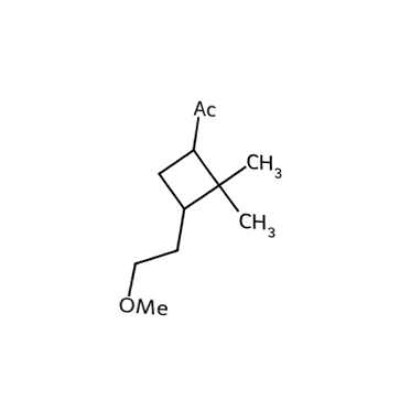 COCCC1CC(C(C)=O)C1(C)C